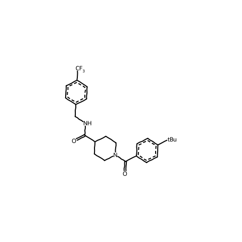 CC(C)(C)c1ccc(C(=O)N2CCC(C(=O)NCc3ccc(C(F)(F)F)cc3)CC2)cc1